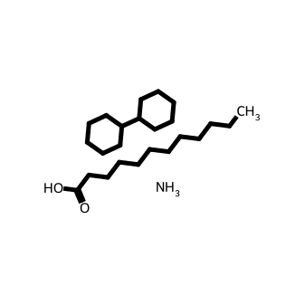 C1CCC(C2CCCCC2)CC1.CCCCCCCCCCCC(=O)O.N